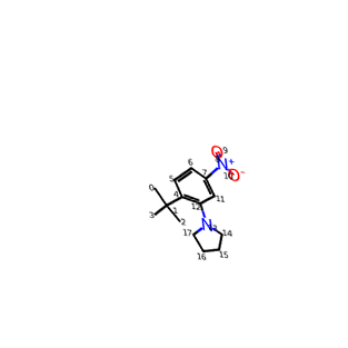 CC(C)(C)c1ccc([N+](=O)[O-])cc1N1CCCC1